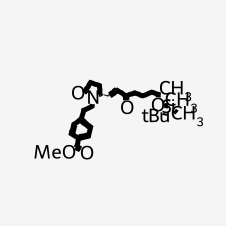 COC(=O)c1ccc(CCN2C(=O)CC[C@@H]2/C=C/C(=O)CCC[C@@H](C)O[Si](C)(C)C(C)(C)C)cc1